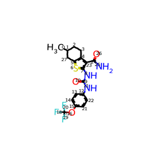 CC1CCc2c(sc(NC(=O)Nc3ccc(OC(F)(F)F)cc3)c2C(N)=O)C1